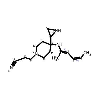 C/C=C\C=C(/C)NC1(C2CN2)CCN(CCC#N)CC1